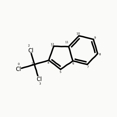 ClC(Cl)(Cl)C1=Cc2ccccc2[CH]1